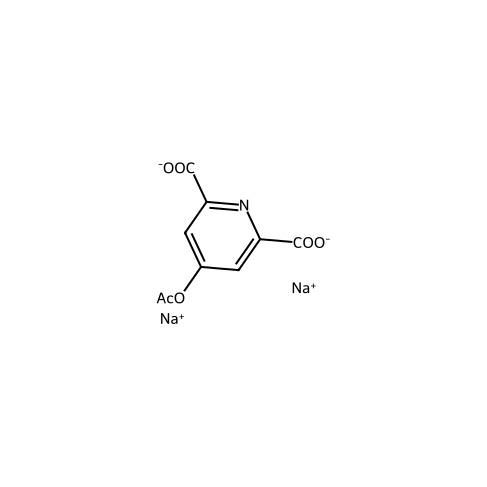 CC(=O)Oc1cc(C(=O)[O-])nc(C(=O)[O-])c1.[Na+].[Na+]